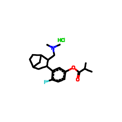 CC(C)C(=O)Oc1ccc(F)c(C2CC3CCC(C3)C2CN(C)C)c1.Cl